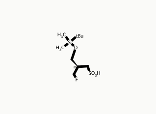 CC(C)(C)[Si](C)(C)OC[C@H](CF)CS(=O)(=O)O